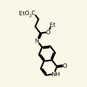 CCOC(=O)CCC(=Nc1ccc2c(=O)[nH]ccc2c1)OCC